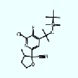 CC1CCOC1(C#N)c1cc(C(C)(C)O[Si](C)(C)C(C)(C)C)c(F)c(Cl)n1